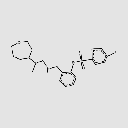 CC(CNCc1ccccc1NS(=O)(=O)c1ccc(F)cc1)C1CCCCCC1